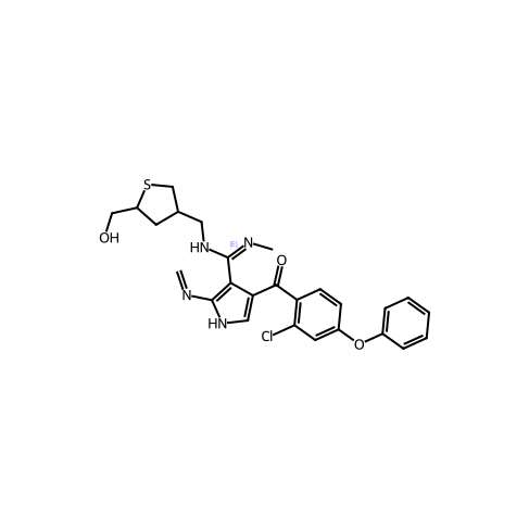 C=Nc1[nH]cc(C(=O)c2ccc(Oc3ccccc3)cc2Cl)c1/C(=N\C)NCC1CSC(CO)C1